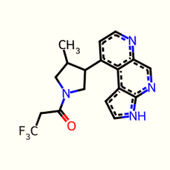 CC1CN(C(=O)CC(F)(F)F)CC1c1ccnc2cnc3[nH]ccc3c12